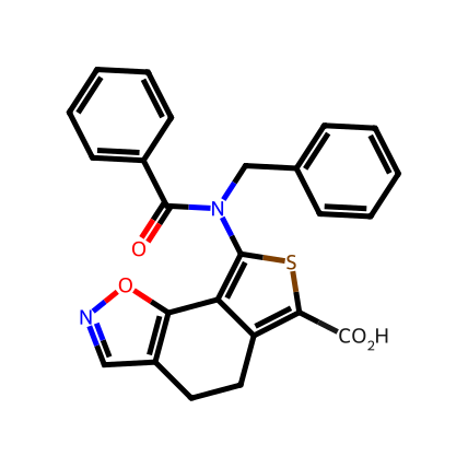 O=C(O)c1sc(N(Cc2ccccc2)C(=O)c2ccccc2)c2c1CCc1cnoc1-2